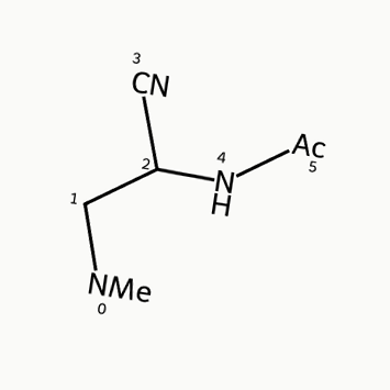 CNCC(C#N)NC(C)=O